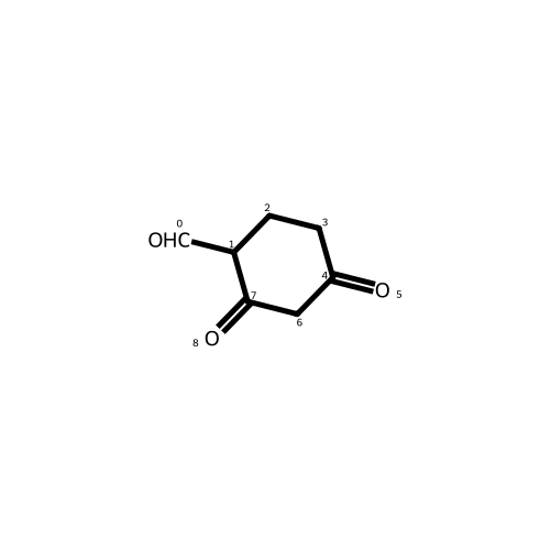 O=CC1CCC(=O)CC1=O